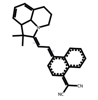 CC1(C)/C(=C/C=c2\ccc(=C(C#N)C#N)c3ccccc23)N2CCCC3=CC=CC1C32